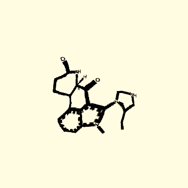 CC1CNCN1c1c2c3c(cccc3n1C)C1CCC(=O)N[C@@H]1C2=O